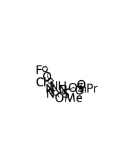 CCCS(=O)(=O)CCOCCc1nc(-c2cc3c(Nc4ccc(OCc5cccc(F)c5)c(Cl)c4)ncnc3cc2OC)cs1